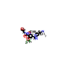 COc1cc(-c2cnc3cc(C(C)(C)C#N)ccn23)cc(OC(F)F)c1C(=O)NCC1COC1